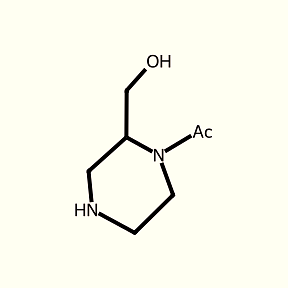 CC(=O)N1CCNCC1CO